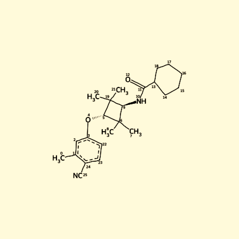 Cc1cc(O[C@H]2C(C)(C)[C@H](NC(=O)C3CCCCC3)C2(C)C)ccc1C#N